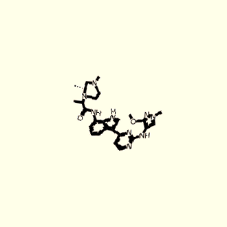 COc1nn(C)cc1Nc1nccc(-c2c[nH]c3c(NC(=O)C(C)N4CCN(C)C[C@H]4C)cccc23)n1